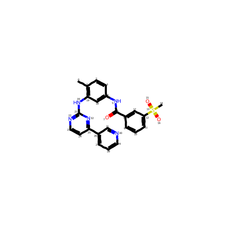 Cc1ccc(NC(=O)c2cccc(S(C)(=O)=O)c2)cc1Nc1nccc(-c2cccnc2)n1